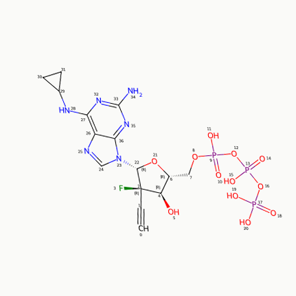 C#C[C@@]1(F)[C@H](O)[C@@H](COP(=O)(O)OP(=O)(O)OP(=O)(O)O)O[C@H]1n1cnc2c(NC3CC3)nc(N)nc21